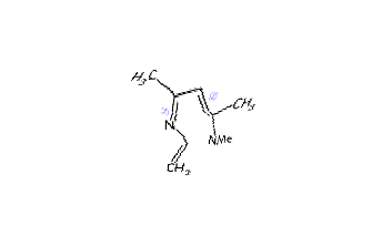 C=C/N=C(C)\C=C(\C)NC